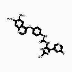 COc1cc2nccc(Oc3ccc(NC(=O)Nc4[nH]c(C(C)(C)C)nc4-c4cncc(Cl)c4)cc3)c2cc1OC